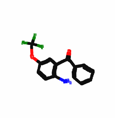 Nc1ccc(OC(F)(F)F)cc1C(=O)c1ccccc1